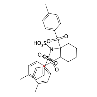 Cc1ccc(S(=O)(=O)C2CCCCC2(N(S(=O)(=O)O)S(=O)(=O)c2ccc(C)cc2)S(=O)(=O)c2ccc(C)cc2)cc1